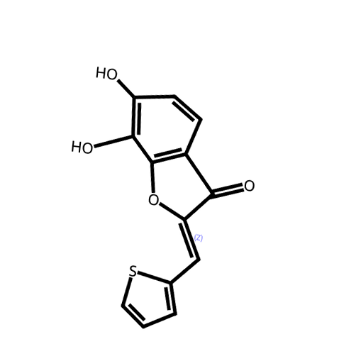 O=C1/C(=C/c2cccs2)Oc2c1ccc(O)c2O